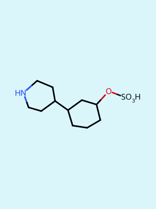 O=S(=O)(O)OC1CCCC(C2CCNCC2)C1